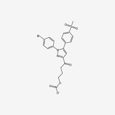 CS(=O)(=O)c1ccc(-c2cc(C(=O)CCCO[N+](=O)[O-])nn2-c2ccc(Br)cc2)cc1